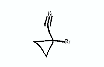 N#CC1(Br)CC1